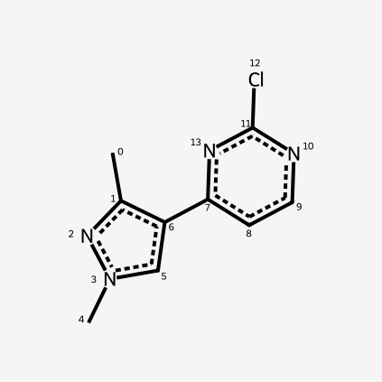 Cc1nn(C)cc1-c1ccnc(Cl)n1